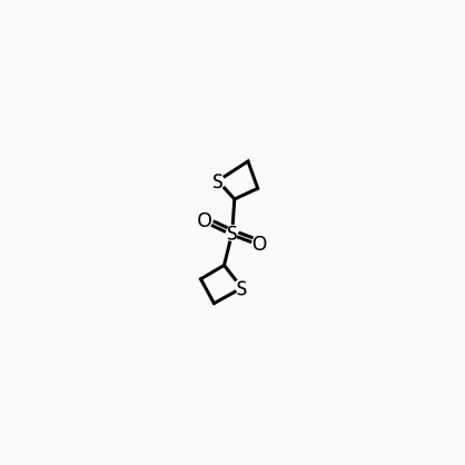 O=S(=O)(C1CCS1)C1CCS1